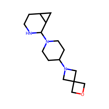 C1CC2CC2C(N2CCC(N3CC4(COC4)C3)CC2)N1